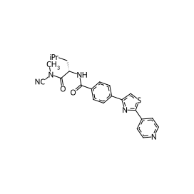 CC(C)C[C@H](NC(=O)c1ccc(-c2csc(-c3ccncc3)n2)cc1)C(=O)N(C)C#N